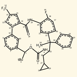 CC(C)(C)C(OC(N)=O)c1cccc(-n2nc(C(F)(F)F)cc2C(=O)Nc2cc(C(N)(CCC3CC3)c3ccccc3)ccc2F)c1